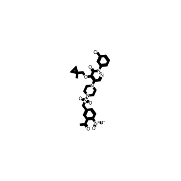 CC(=O)c1cc(CS(=O)(=O)N2CCN(c3cnn(-c4cccc(Cl)c4)c(=O)c3OCC3(C)CC3)CC2)ccc1[N+](=O)[O-]